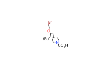 CC(C)(C)C1C(OCCBr)CC12CCN(C(=O)O)CC2